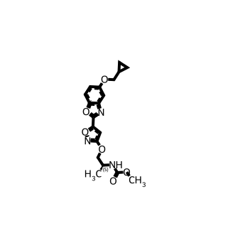 COC(=O)N[C@@H](C)COc1cc(-c2nc3cc(OCC4CC4)ccc3o2)on1